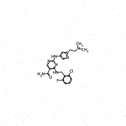 CN(C)CCn1cc(Nc2ncc(C(N)=O)c(NCc3c(F)cccc3Cl)n2)cn1